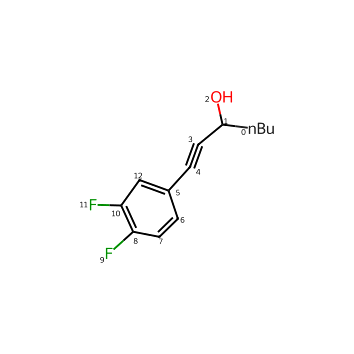 CCCCC(O)C#Cc1ccc(F)c(F)c1